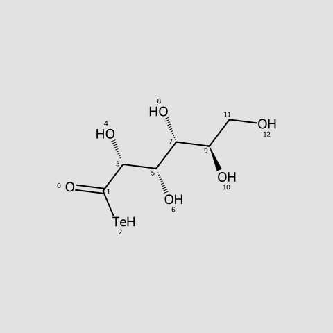 O=C([TeH])[C@H](O)[C@@H](O)[C@H](O)[C@H](O)CO